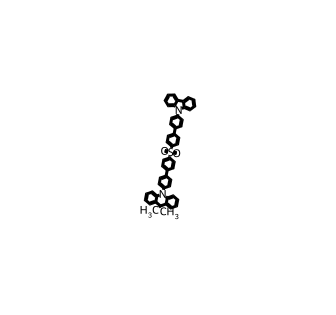 CC1(C)c2ccccc2N(c2ccc(-c3ccc(S(=O)(=O)c4ccc(-c5ccc(-n6c7ccccc7c7ccccc76)cc5)cc4)cc3)cc2)c2ccccc21